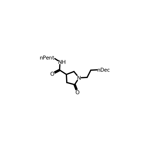 CCCCCCCCCCCCN1CC(C(=O)NCCCCC)CC1=O